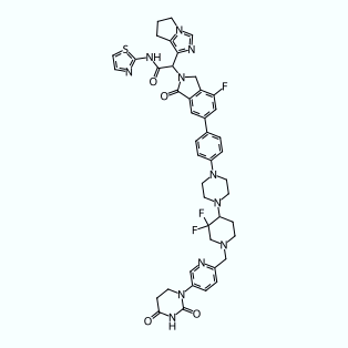 O=C1CCN(c2ccc(CN3CCC(N4CCN(c5ccc(-c6cc(F)c7c(c6)C(=O)N(C(C(=O)Nc6nccs6)c6ncn8c6CCC8)C7)cc5)CC4)C(F)(F)C3)nc2)C(=O)N1